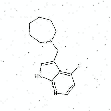 Clc1ccnc2[nH]cc(CN3CCCCCC3)c12